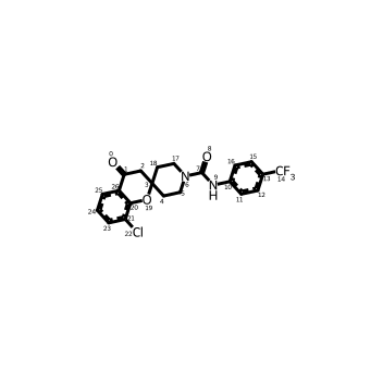 O=C1CC2(CCN(C(=O)Nc3ccc(C(F)(F)F)cc3)CC2)Oc2c(Cl)cccc21